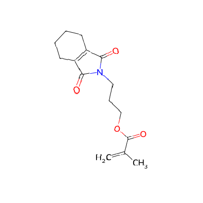 C=C(C)C(=O)OCCCN1C(=O)C2=C(CCCC2)C1=O